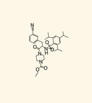 CCOC(=O)N1CCN(C(=O)C(Cc2cccc(C#N)c2)NS(=O)(=O)c2c(C(C)C)cc(C(C)C)cc2C(C)C)CC1